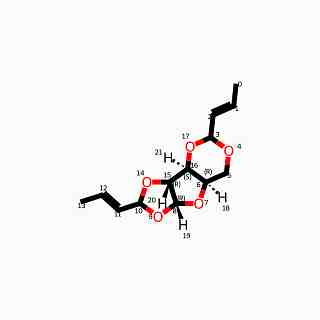 CC=CC1OC[C@H]2O[C@@H]3OC(C=CC)O[C@@H]3[C@H]2O1